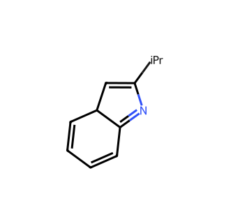 CC(C)C1=CC2C=CC=CC2=N1